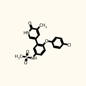 Cc1cc(-c2cc(NS(C)(=O)=O)ccc2Oc2ccc(Cl)cc2)c[nH]c1=O